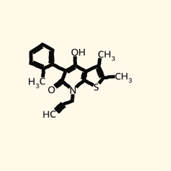 C#CCn1c(=O)c(-c2ccccc2C)c(O)c2c(C)c(C)sc21